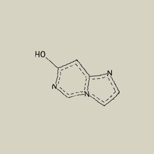 Oc1cc2nccn2cn1